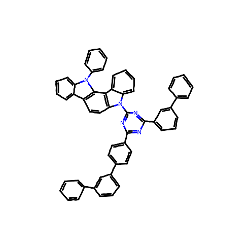 c1ccc(-c2cccc(-c3ccc(-c4nc(-c5cccc(-c6ccccc6)c5)nc(-n5c6ccccc6c6c5ccc5c7ccccc7n(-c7ccccc7)c56)n4)cc3)c2)cc1